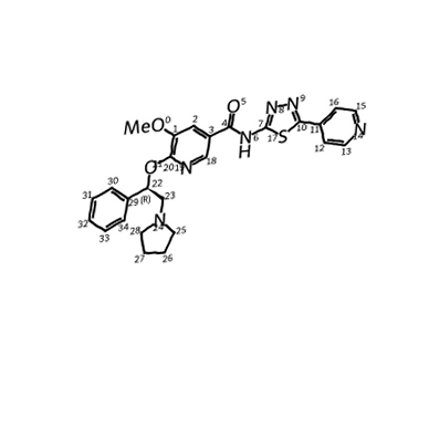 COc1cc(C(=O)Nc2nnc(-c3ccncc3)s2)cnc1O[C@@H](CN1CCCC1)c1ccccc1